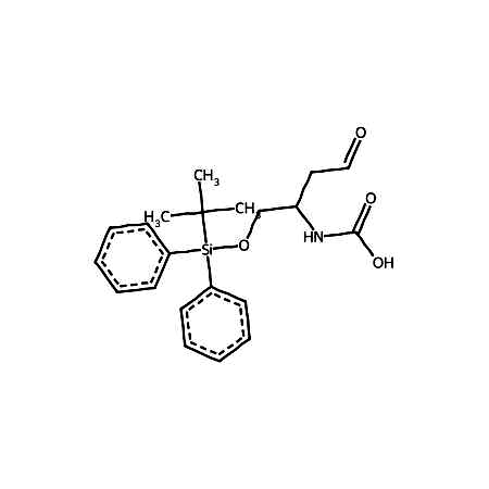 CC(C)(C)[Si](OCC(CC=O)NC(=O)O)(c1ccccc1)c1ccccc1